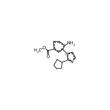 COC(=O)c1ccc(N)c(-n2ccnc2C2CCCC2)c1